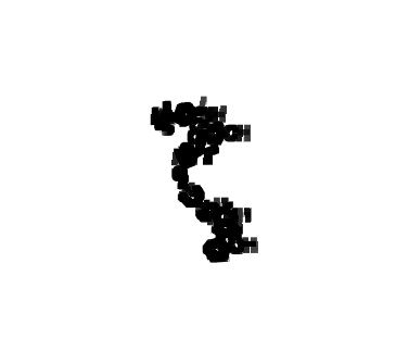 Cc1ncsc1-c1ccc([C@H](C)NC(=O)[C@@H]2C[C@@H](O)CN2C(=O)[C@@H](c2cc(OCCN3CCC(N4CCN5c6cc(-c7ccccc7O)nnc6N[C@H](C)[C@H]5C4)CC3)no2)C(C)C)cc1